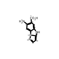 Nc1cc2c(cc1C(=O)O)[nH]c1ccnn12